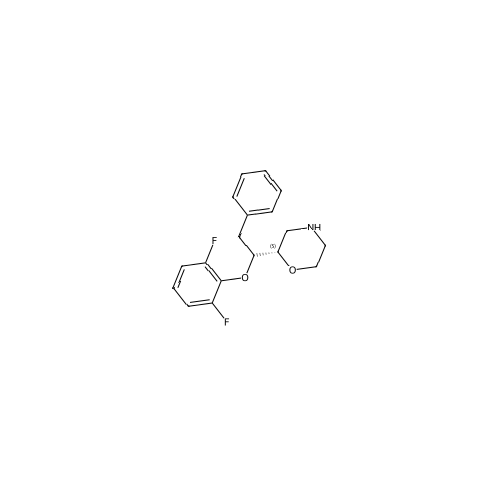 Fc1cccc(F)c1OC(Cc1ccccc1)[C@@H]1CNCCO1